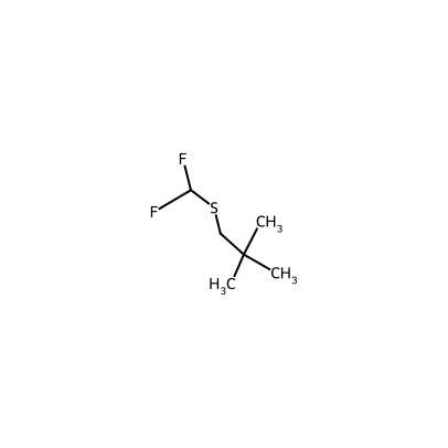 CC(C)(C)CSC(F)F